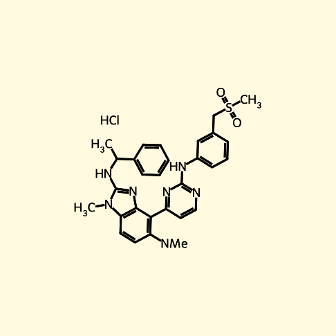 CNc1ccc2c(nc(NC(C)c3ccccc3)n2C)c1-c1ccnc(Nc2cccc(CS(C)(=O)=O)c2)n1.Cl